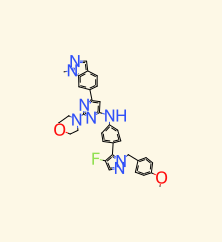 COc1ccc(Cn2ncc(F)c2-c2ccc(Nc3cc(-c4ccc5cnn(C)c5c4)nc(N4CCOCC4)n3)cc2)cc1